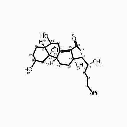 CC(C)CCC[C@@H](C)[C@H]1CC(=O)C2=C3CC(O)[C@H]4CCC(O)C[C@]4(C)[C@H]3CC[C@@]21C